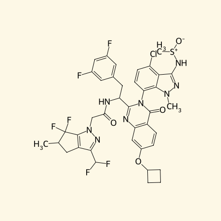 CC1Cc2c(C(F)F)nn(CC(=O)NC(Cc3cc(F)cc(F)c3)c3nc4cc(OC5CCC5)ccc4c(=O)n3-c3ccc(Cl)c4c(N[S+](C)[O-])nn(C)c34)c2C1(F)F